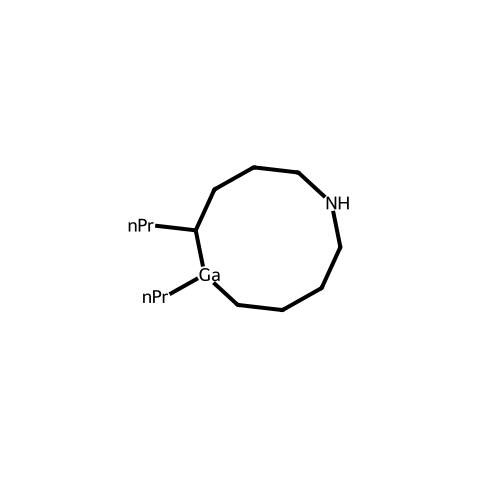 CCC[CH]1CCCNCCC[CH2][Ga]1[CH2]CC